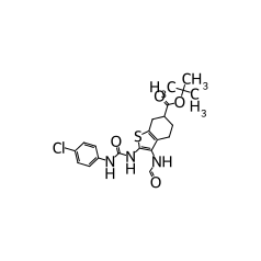 CC(C)(C)OC(=O)C1CCc2c(sc(NC(=O)Nc3ccc(Cl)cc3)c2NC=O)C1